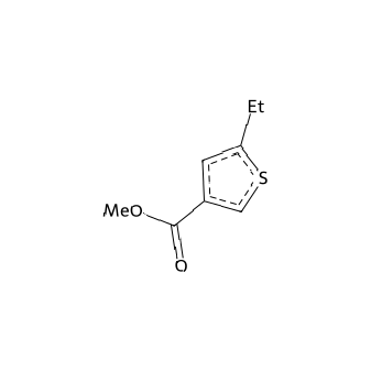 CCc1cc(C(=O)OC)cs1